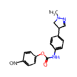 CN1CC(c2ccc(NC(=O)Oc3ccc(N=O)cc3)cc2)C=N1